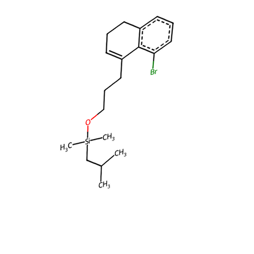 CC(C)C[Si](C)(C)OCCCC1=CCCc2cccc(Br)c21